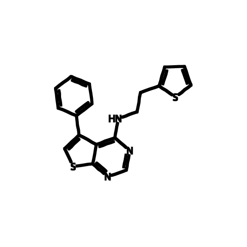 c1ccc(-c2csc3ncnc(NCCc4cccs4)c23)cc1